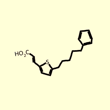 O=C(O)C=Cc1ccc(CCCCCc2ccccc2)s1